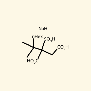 CCCCCCC(C)(C)C(CC(=O)O)(C(=O)O)S(=O)(=O)O.[NaH]